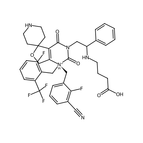 N#Cc1cccc(C[N@+]2(Cc3c(F)cccc3C(F)(F)F)C(=O)N(CC(NCCCC(=O)O)c3ccccc3)C(=O)C3=C2COC32CCNCC2)c1F